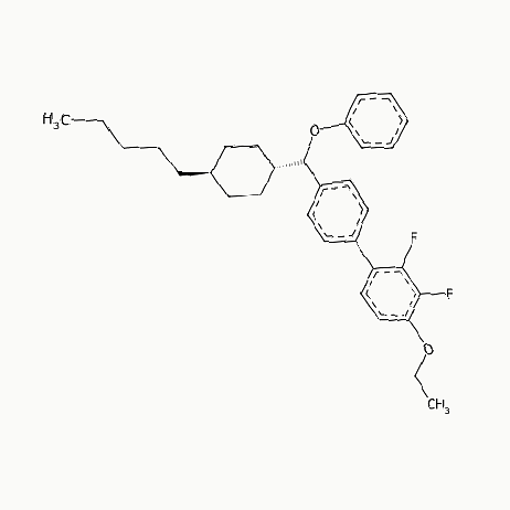 CCCCC[C@H]1CC[C@H](C(Oc2ccccc2)c2ccc(-c3ccc(OCC)c(F)c3F)cc2)CC1